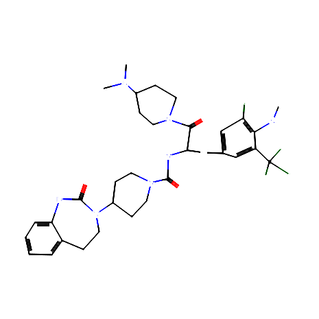 CNc1c(Cl)cc(CC(NC(=O)N2CCC(N3CCc4ccccc4NC3=O)CC2)C(=O)N2CCC(N(C)C)CC2)cc1C(F)(F)F